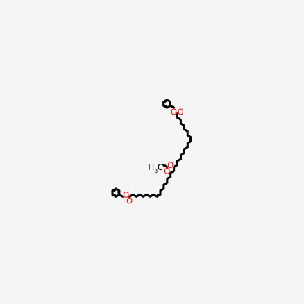 CCC(=O)OC(CCCCCCCC/C=C\CCCCCCCC(=O)OCc1ccccc1)CCCCCCCC/C=C\CCCCCCCC(=O)OCc1ccccc1